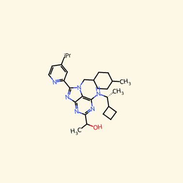 CC1CCC(Cn2c(-c3cc(C(C)C)ccn3)nc3nc(C(C)O)nc(N[C@H](C)C4CCC4)c32)CC1